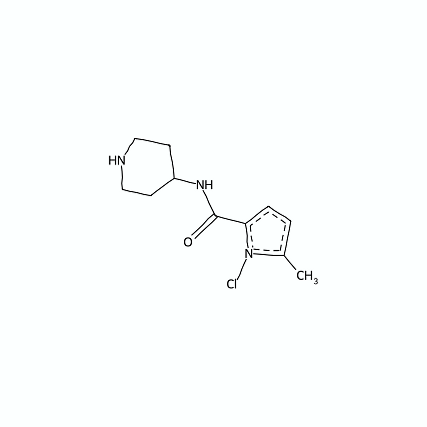 Cc1ccc(C(=O)NC2CCNCC2)n1Cl